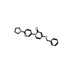 O=c1cc(OCc2ccccc2)ccn1-c1ccc(N2CCCC2)nc1